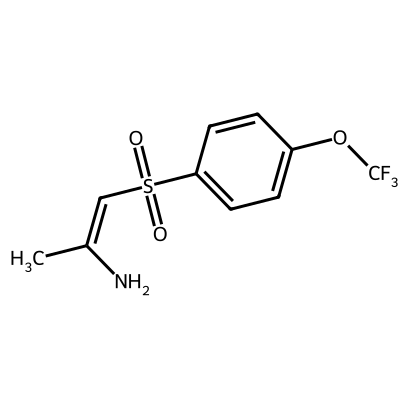 CC(N)=CS(=O)(=O)c1ccc(OC(F)(F)F)cc1